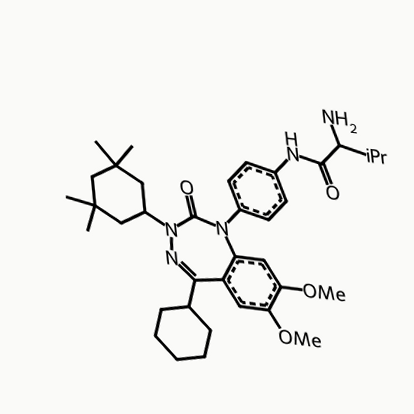 COc1cc2c(cc1OC)N(c1ccc(NC(=O)C(N)C(C)C)cc1)C(=O)N(C1CC(C)(C)CC(C)(C)C1)N=C2C1CCCCC1